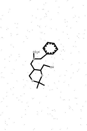 CC1(C)OCC(CN(Cc2ccccc2)C(=O)O)C(CO)O1